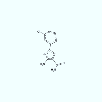 NC(=O)c1cc(-c2cccc(Cl)c2)[nH]c1N